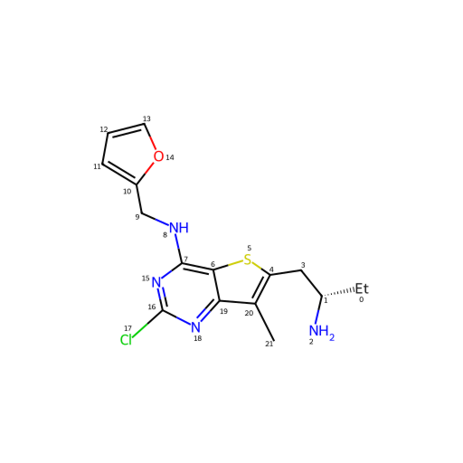 CC[C@H](N)Cc1sc2c(NCc3ccco3)nc(Cl)nc2c1C